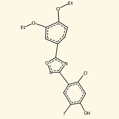 CCOc1ccc(-c2nc(-c3cc(I)c(O)cc3Cl)no2)cc1OCC